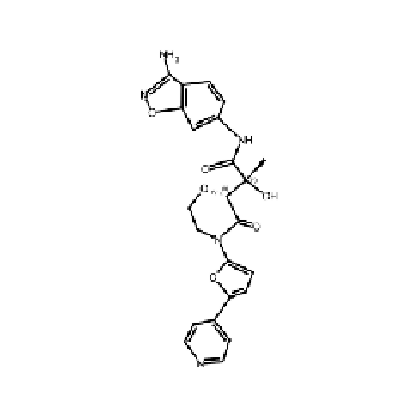 C[C@](O)(C(=O)Nc1ccc2c(N)noc2c1)[C@H]1OCCN(c2ccc(-c3ccncc3)o2)C1=O